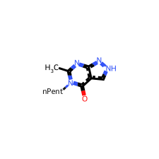 CCCCCn1c(C)nc2n[nH]cc2c1=O